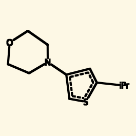 CC(C)c1cc(N2CCOCC2)cs1